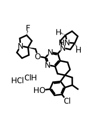 CC1CC2(CCc3c(nc(OC[C@@]45CCCN4C[C@H](F)C5)nc3N3C[C@H]4CC[C@@H](C3)N4)C2)c2cc(O)cc(Cl)c21.Cl.Cl